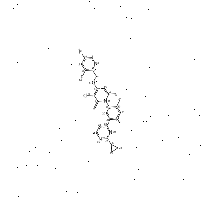 C=C1C(Cl)=C(OCc2ncc(F)cc2F)C=C(C)N1c1cc(-c2ccnc(C3CC3)n2)ncc1C